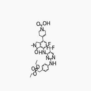 CCOP(=O)(Cc1ccc(Nc2ncc(C(F)(F)F)c(Nc3ccc(C4=CCN(C(=O)O)CC4)c4c3C(=O)N(C)C4)n2)cc1)OCC